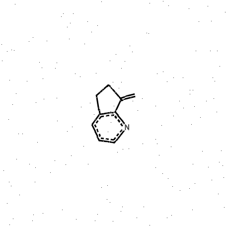 C=C1CCc2cccnc21